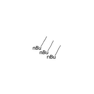 CCCCC.CCCCC.CCCCC